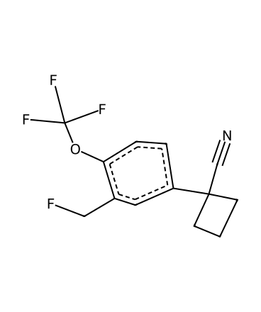 N#CC1(c2ccc(OC(F)(F)F)c(CF)c2)CCC1